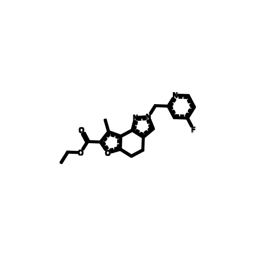 CCOC(=O)c1oc2c(c1C)-c1nn(Cc3cc(F)ccn3)cc1CC2